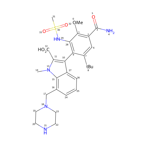 COc1c(C(N)=O)cc(C(C)(C)C)c(-c2c(C(=O)O)n(C)c3c(CN4CCNCC4)cccc23)c1NS(C)(=O)=O